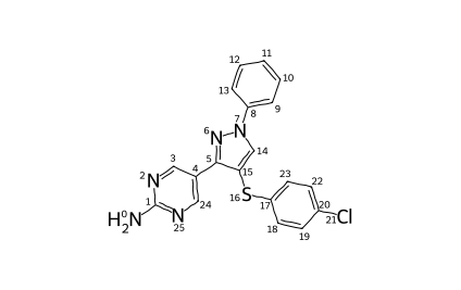 Nc1ncc(-c2nn(-c3ccccc3)cc2Sc2ccc(Cl)cc2)cn1